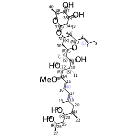 C/C=C/[C@H]1O[C@@H]([C@@H](C)[C@H](O)[C@H](C)[C@@H](O)[C@H](/C=C/C=C(\C)C[C@@H](C)[C@H](O)C[C@@H](C)O)OC)C[C@@H](O[C@@H]2C[C@H](O)[C@@H](O)[C@H](C)O2)[C@@H]1C